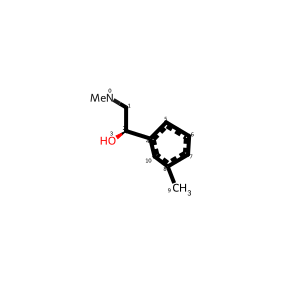 CNC[C@H](O)c1cccc(C)c1